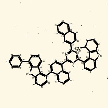 CC1CC=Cc2oc3cccc(-c4nc(-c5ccc6ccccc6c5)nc(-c5ccc(-c6cccc7oc8c(-c9ccccc9)cccc8c67)c6ccccc56)n4)c3c21